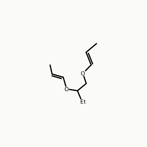 CC=COCC(CC)OC=CC